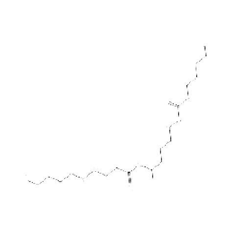 CCCCCCCCCCCCCCCC(=O)NCCCCC(NC(=O)CCCCCCCCC(=O)O)C(=O)O